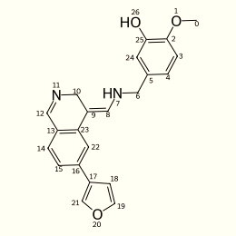 COc1ccc(CNC=C2CN=Cc3ccc(-c4ccoc4)cc32)cc1O